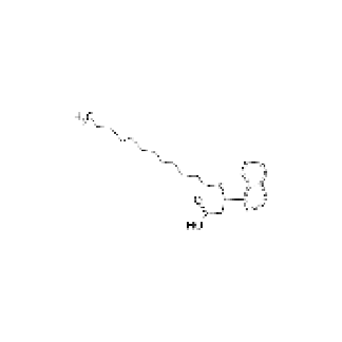 CCCCCCCCCCCCSC(CC(=O)O)c1cccc2ccccc12